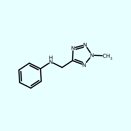 Cn1nnc(CNc2ccccc2)n1